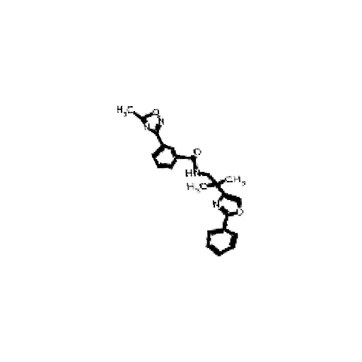 Cc1nc(-c2cccc(C(=O)NCC(C)(C)c3coc(-c4ccccc4)n3)c2)no1